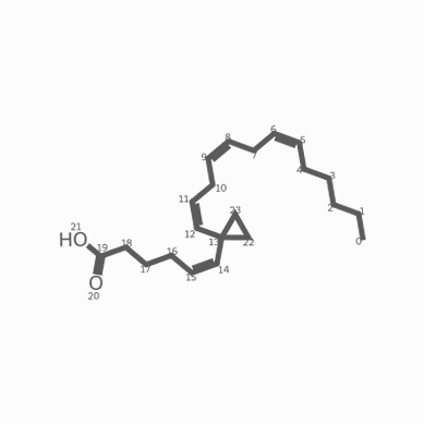 CCCCC/C=C\C/C=C\C/C=C\C1(/C=C\CCCC(=O)O)CC1